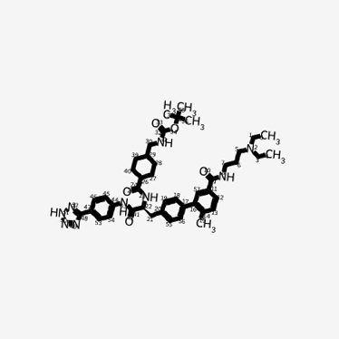 CCN(CC)CCCNC(=O)c1ccc(C)c(-c2ccc(C[C@H](NC(=O)C3CCC(CNC(=O)OC(C)(C)C)CC3)C(=O)Nc3ccc(-c4nn[nH]n4)cc3)cc2)c1